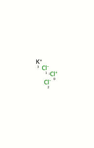 [Cl+].[Cl-].[Cl-].[K+]